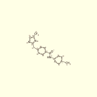 Cc1ccc(NC(=O)c2ccc(Cc3noc(C(F)(F)F)n3)cc2)cc1